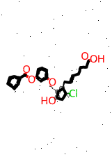 O=C(O)CCCC=CC[C@@H]1[C@@H](COc2cccc(OC(=O)c3ccccc3)c2)[C@H](O)C[C@H]1Cl